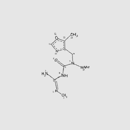 C/N=C(/N)NC(=O)N(Cc1ncoc1C)NC